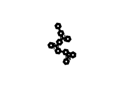 c1ccc(-c2ccc(N(c3ccccc3)c3ccc(N(c4ccccc4)c4cccc(-c5ccc6c7ccccc7n(-c7ccccc7)c6c5)c4)cc3)cc2)cc1